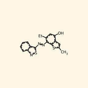 CCc1cc(O)c2cc(C)sc2c1/N=N/c1snc2ccccc12